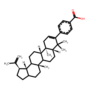 C=C(C)[C@@H]1CCC2CC[C@]3(C)C(CC[C@H]4C3CC[C@H]3C(C)(C)C(c5ccc(C(=O)O)cc5)=CC[C@]43C)[C@H]21